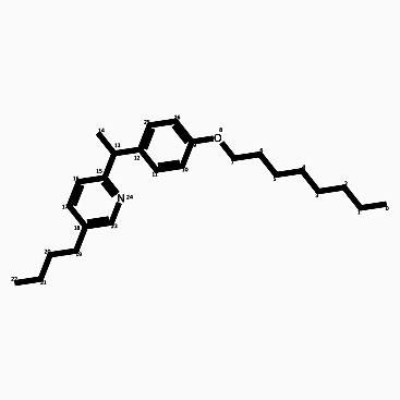 CCCCCCCCOc1ccc(C(C)c2ccc(CCCC)cn2)cc1